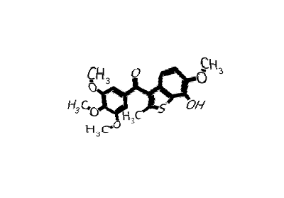 COc1cc(C(=O)c2c(C)sc3c(O)c(OC)ccc23)cc(OC)c1OC